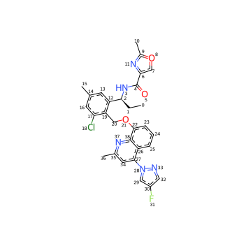 CC[C@H](NC(=O)c1coc(C)n1)c1cc(C)cc(Cl)c1COc1cccc2c(-n3cc(F)cn3)cc(C)nc12